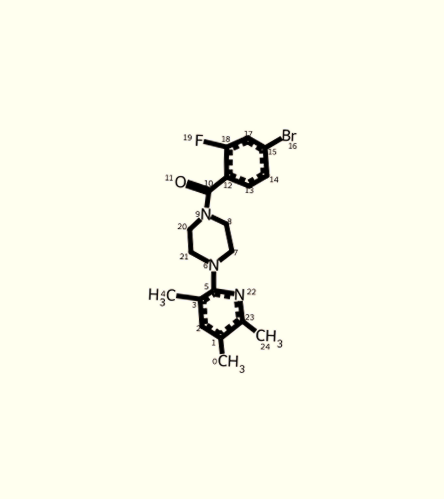 Cc1cc(C)c(N2CCN(C(=O)c3ccc(Br)cc3F)CC2)nc1C